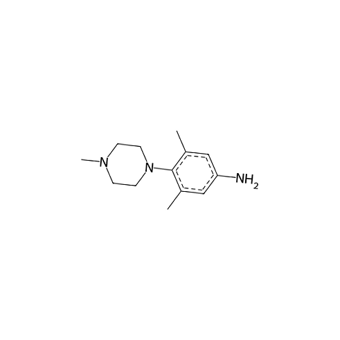 Cc1cc(N)cc(C)c1N1CCN(C)CC1